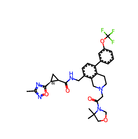 Cc1noc([C@H]2CC2C(=O)NCc2ccc(-c3cccc(OC(F)(F)F)c3)c3c2CN(CC(=O)N2COCC2(C)C)CC3)n1